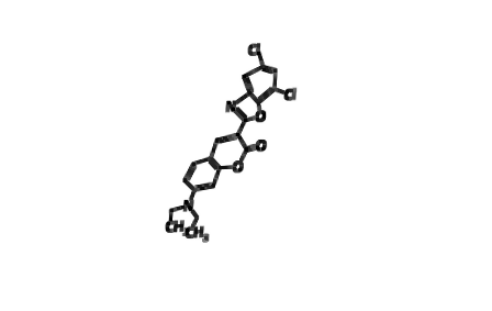 CCN(CC)c1ccc2cc(-c3nc4cc(Cl)cc(Cl)c4o3)c(=O)oc2c1